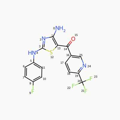 Nc1nc(Nc2ccc(F)cc2)sc1C(=O)c1ccc(C(F)(F)F)nc1